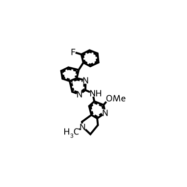 COc1nc2c(cc1Nc1ncc3cccc(-c4ccccc4F)c3n1)CN(C)CC2